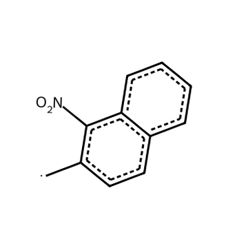 [CH2]c1ccc2ccccc2c1[N+](=O)[O-]